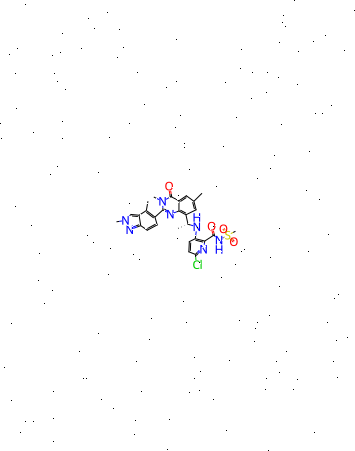 Cc1cc([C@@H](C)Nc2ccc(Cl)nc2C(=O)NS(C)(=O)=O)c2nc(-c3ccc4nn(C)cc4c3C)n(C)c(=O)c2c1